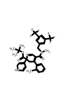 Cc1ccccc1C1=C(C(=O)N(C)Cc2cc(C(F)(F)F)cc(C(F)(F)F)c2)C=NC(C(=O)OC(C)(C)C)(C2=CCNC=C2)C1